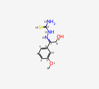 COc1cccc(C(CO)=NNC(N)=S)c1